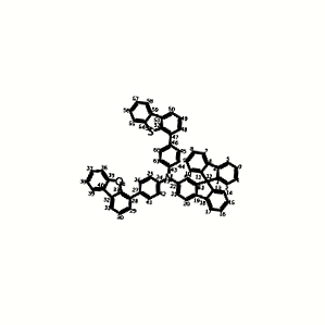 c1ccc2c(c1)-c1ccccc1C21c2ccccc2-c2ccc(N(c3ccc(-c4cccc5c4oc4ccccc45)cc3)c3ccc(-c4cccc5c4sc4ccccc45)cc3)cc21